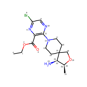 CCOC(=O)c1nc(Br)cnc1N1CCC2(CC1)CO[C@@H](C)[C@H]2N